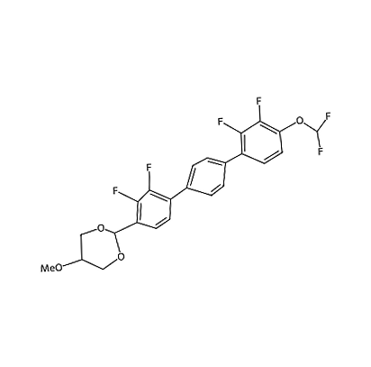 COC1COC(c2ccc(-c3ccc(-c4ccc(OC(F)F)c(F)c4F)cc3)c(F)c2F)OC1